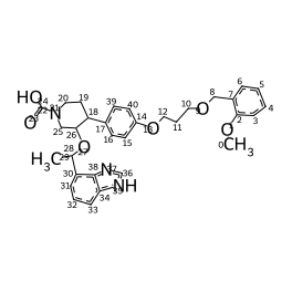 COc1ccccc1COCCCOc1ccc(C2CCN(C(=O)O)CC2OC(C)c2cccc3[nH]cnc23)cc1